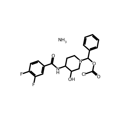 N.O=C(Cl)OC(c1ccccc1)N1CCC(NC(=O)c2ccc(F)c(F)c2)C(O)C1